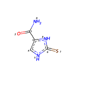 NC(=O)c1c[nH]c(=S)[nH]1